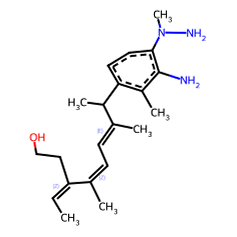 C\C=C(CCO)/C(C)=C\C=C(/C)C(C)c1ccc(N(C)N)c(N)c1C